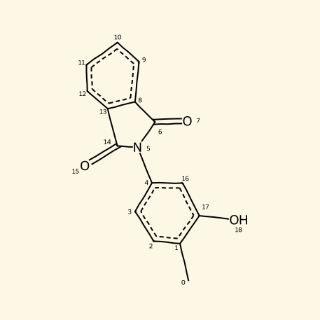 Cc1ccc(N2C(=O)c3ccccc3C2=O)cc1O